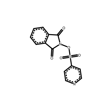 O=C1c2ccccc2C(=O)N1OS(=O)(=O)c1ccncc1